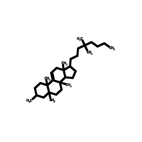 BC12CCC3(C)C(=CCC4(C)C(CCCC(C)(C)CCCC)CCC34)C1(C)CCC(C)C2